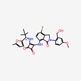 COc1ccc(N2Cc3c(F)ccc(Nc4c(N[C@@H](c5ccc(C)o5)C(C)(C)C)c(=O)c4=O)c3C2=O)c(CO)c1